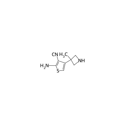 CC1(c2csc(N)c2C#N)CNC1